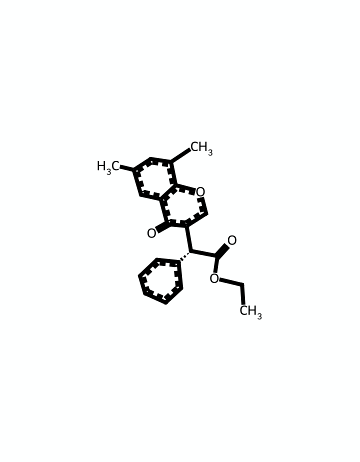 CCOC(=O)[C@H](c1ccccc1)c1coc2c(C)cc(C)cc2c1=O